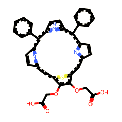 O=C(O)COc1c(OCC(=O)O)c2cc3nc(c(-c4ccccc4)c4ccc([nH]4)c(-c4ccccc4)c4nc(cc1s2)C=C4)C=C3